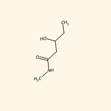 CCC(O)CC(=O)NC